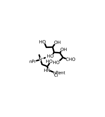 CCCCCNC(O)C[N+](C)(C)CCC.O=CC(O)C(O)C(O)C(O)CO.[Cl-]